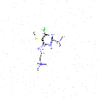 CSc1c(Cl)nc(N(C)C)nc1NCCN(C)C